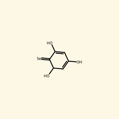 OC1=CC(O)C(=[Se])C(O)=C1